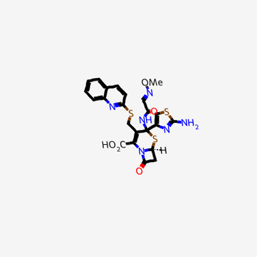 CON=CC(=O)NC1(c2csc(N)n2)S[C@H]2CC(=O)N2C(C(=O)O)=C1CSc1ccc2ccccc2n1